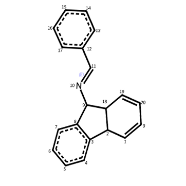 C1=CC2c3ccccc3C(/N=C/c3ccccc3)C2C=C1